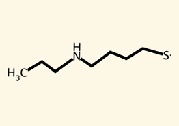 CCCNCCCC[S]